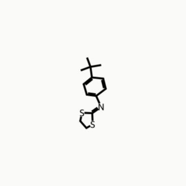 CC(C)(C)c1ccc(N=C2SCCS2)cc1